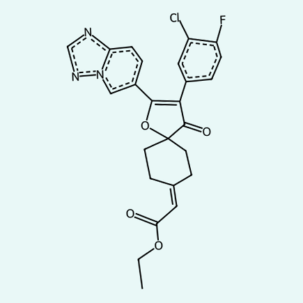 CCOC(=O)C=C1CCC2(CC1)OC(c1ccc3ncnn3c1)=C(c1ccc(F)c(Cl)c1)C2=O